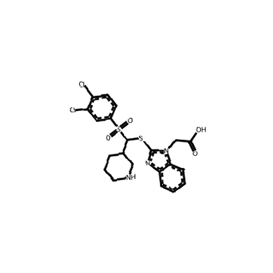 O=C(O)Cn1c(SC(C2CCCNC2)S(=O)(=O)c2ccc(Cl)c(Cl)c2)nc2ccccc21